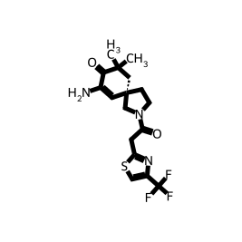 CC1(C)C[C@]2(C=C(N)C1=O)CCN(C(=O)Cc1nc(C(F)(F)F)cs1)C2